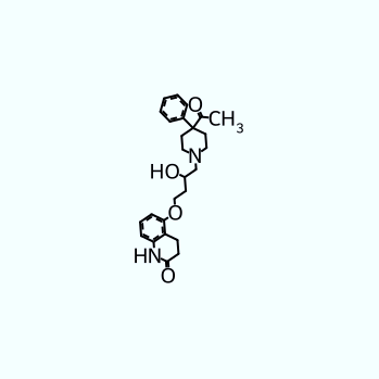 CC(=O)C1(c2ccccc2)CCN(CC(O)CCOc2cccc3c2CCC(=O)N3)CC1